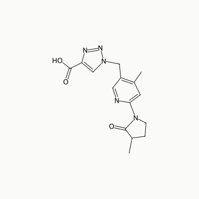 Cc1cc(N2CCC(C)C2=O)ncc1Cn1cc(C(=O)O)nn1